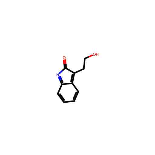 O=C1N=c2ccccc2=C1CCO